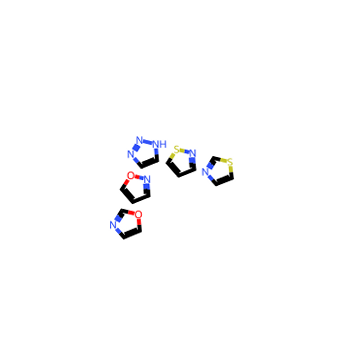 c1c[nH]nn1.c1cnoc1.c1cnsc1.c1cocn1.c1cscn1